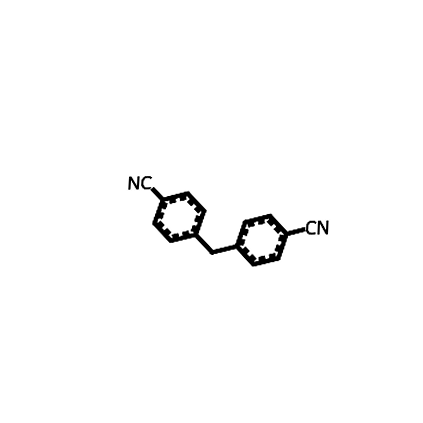 N#Cc1ccc(Cc2ccc(C#N)cc2)cc1